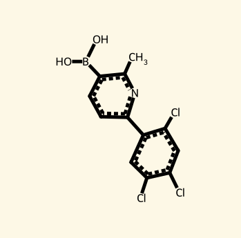 Cc1nc(-c2cc(Cl)c(Cl)cc2Cl)ccc1B(O)O